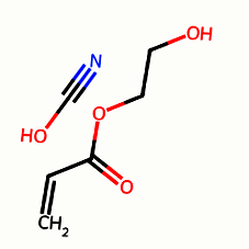 C=CC(=O)OCCO.N#CO